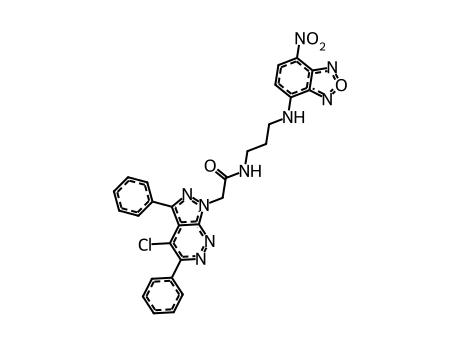 O=C(Cn1nc(-c2ccccc2)c2c(Cl)c(-c3ccccc3)nnc21)NCCCNc1ccc([N+](=O)[O-])c2nonc12